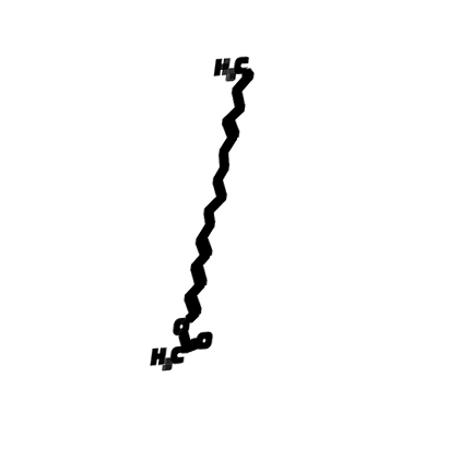 CCCCC=CCCCCCCC=CC=CC=COC(C)=O